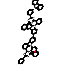 c1ccc(-c2nc(-c3cccc(-n4c5ccccc5c5ccccc54)c3)nc(-c3ccccc3-n3c4ccccc4c4cc(-c5ccc6c(c5)c5cccc(-c7nc(-c8ccccc8)nc(-c8ccccc8)n7)c5n6-c5ccccc5)ccc43)n2)cc1